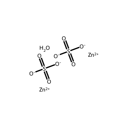 O.O=S(=O)([O-])[O-].O=S(=O)([O-])[O-].[Zn+2].[Zn+2]